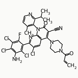 C=CC(=O)N1CCN(c2c(C#N)c(=O)n(-c3c(C)ccnc3C(C)C)c3nc(-c4c(F)c(Cl)c(Cl)c(N)c4Cl)c(Cl)cc23)CC1